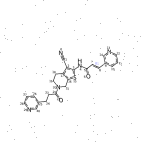 N#Cc1c(NC(=O)/C=C/c2cccnc2)sc2c1CCN(C(=O)CCc1cccnc1)C2